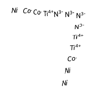 [Co].[Co].[Co].[N-3].[N-3].[N-3].[N-3].[Ni].[Ni].[Ni].[Ti+4].[Ti+4].[Ti+4]